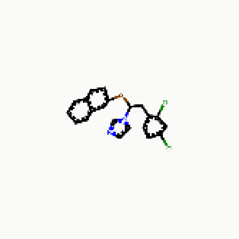 Clc1ccc(CC(Sc2ccc3ccccc3c2)n2ccnc2)c(Cl)c1